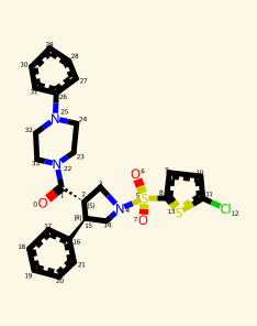 O=C([C@@H]1CN(S(=O)(=O)c2ccc(Cl)s2)C[C@H]1c1ccccc1)N1CCN(c2ccccc2)CC1